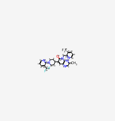 Cc1cnc2cc(C3CCN(c4ncccc4C(F)F)CC3)c(=O)n(Cc3ncccc3C(F)(F)F)c2n1